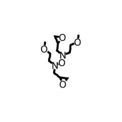 COCCN(CC1CO1)ON(CCOC)CC1CO1